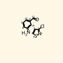 Clc1ccsn1.Nc1cccc(C=O)c1